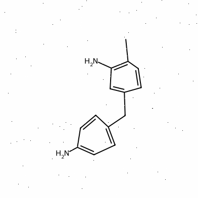 Cc1ccc(Cc2ccc(N)cc2)cc1N